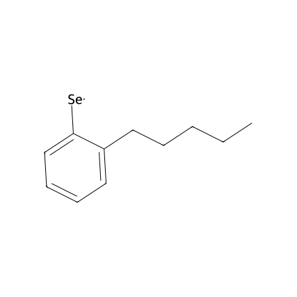 CCCCCc1ccccc1[Se]